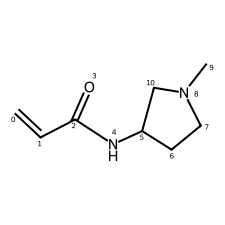 C=CC(=O)NC1CCN(C)C1